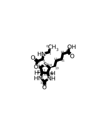 CCNCC(=O)O.O=C(O)CCCC[C@@H]1SC[C@@H]2NC(=O)N[C@@H]21